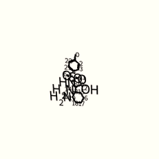 Cc1ccc(S(=O)(=O)NC(C(=O)O)[C@]2(N)CCCC[C@@H]2N)cc1